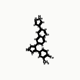 Cc1nc(-c2n[nH]cc2-c2ccc3ncc(-c4cn[nH]c4)cc3c2)ccc1F